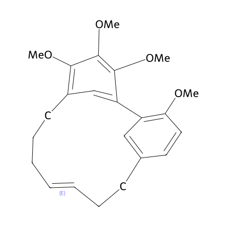 COc1ccc2cc1-c1cc(c(OC)c(OC)c1OC)CCC/C=C/CC2